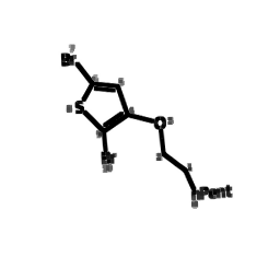 CCCCCCCOc1cc(Br)sc1Br